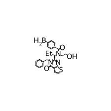 Bc1ccc(C(=O)N(CCO)C(CC)c2nc3sccc3c(=O)n2Cc2ccccc2)cc1